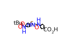 CC(C)(C)OC(=O)Nc1ccc(SNCC(=O)Nc2ccc(C(=O)O)cc2)cc1